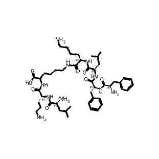 CC(C)C[C@@H](N)C(=O)N[C@H](CCCN)C(=O)NC(CCCCNC(=O)[C@@H](CCCCN)NC(=O)[C@@H](CC(C)C)NC(=O)[C@@H](Cc1ccccc1)NC(=O)[C@H](N)Cc1ccccc1)C(=O)O